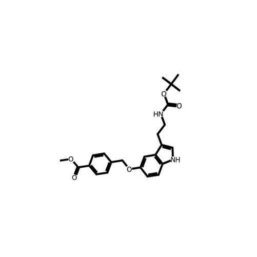 COC(=O)c1ccc(COc2ccc3[nH]cc(CCNC(=O)OC(C)(C)C)c3c2)cc1